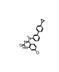 CN(c1cccc(-c2ccc(C3CC3)cc2)c1)c1nc(=O)[nH]c2cc(Cl)ccc12